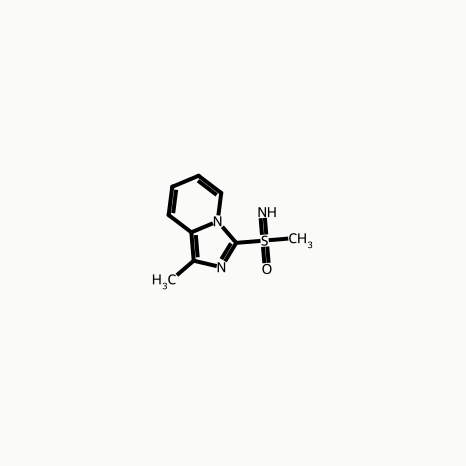 Cc1nc(S(C)(=N)=O)n2ccccc12